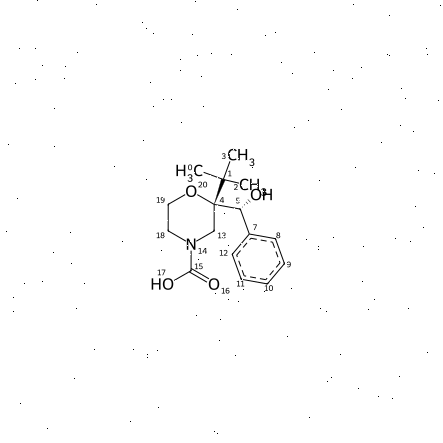 CC(C)(C)[C@@]1([C@H](O)c2ccccc2)CN(C(=O)O)CCO1